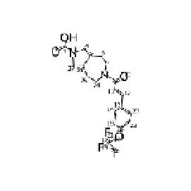 O=C(O)N1CC2CCN(C(=O)C=Cc3ccc(OC(F)(F)F)cc3)CCC2C1